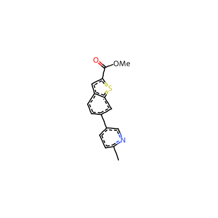 COC(=O)c1cc2ccc(-c3ccc(C)nc3)cc2s1